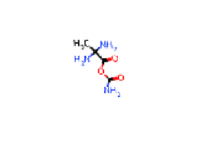 CC(N)(N)C(=O)OC(N)=O